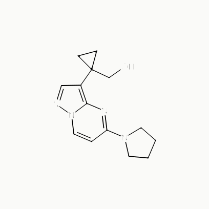 OCC1(c2cnn3ccc(N4CCCC4)nc23)CC1